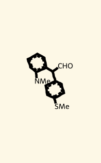 CNc1ccccc1C(C=O)c1ccc(SC)cc1